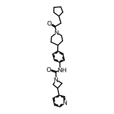 O=C(CC1CCCC1)N1CCC(c2ccc(NC(=O)N3CC(c4cccnc4)C3)cc2)CC1